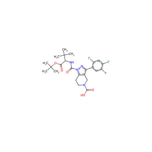 CC(C)(C)OC(=O)C(NC(=O)n1nc(-c2cc(F)c(F)cc2F)c2c1CCN(C(=O)O)C2)C(C)(C)C